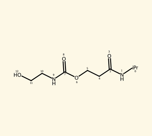 CC(C)NC(=O)CCOC(=O)NCCO